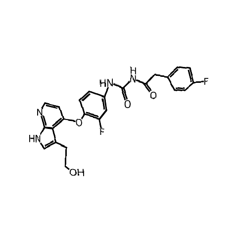 O=C(Cc1ccc(F)cc1)NC(=O)Nc1ccc(Oc2ccnc3[nH]cc(CCO)c23)c(F)c1